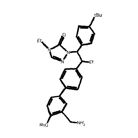 CCC(c1ccc(-c2ccc(OC)c(CN)c2)cc1)C(c1ccc(C(C)(C)C)cc1)n1ncn(CC)c1=O